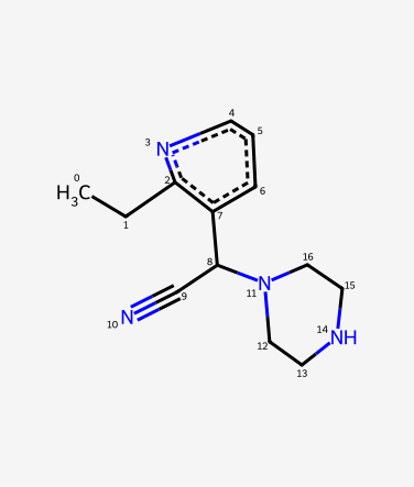 CCc1ncccc1C(C#N)N1CCNCC1